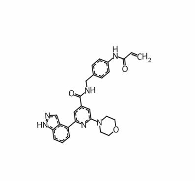 C=CC(=O)Nc1ccc(CNC(=O)c2cc(-c3cccc4[nH]ncc34)nc(N3CCOCC3)c2)cc1